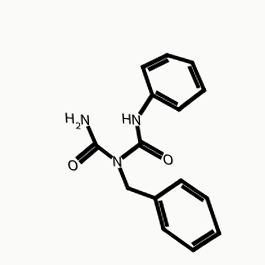 NC(=O)N(Cc1ccccc1)C(=O)Nc1ccccc1